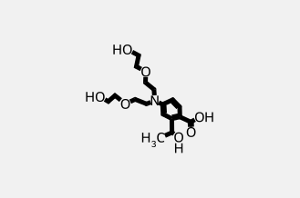 CC(O)c1cc(N(CCOCCO)CCOCCO)ccc1C(=O)O